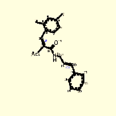 CC(=O)/C(=C/c1ccc(C)cc1C)C(=O)NC/C=C/c1ccccc1